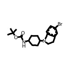 CC(C)(C)OC(=O)NC1CCC(N2CCc3cc(Br)ccc32)CC1